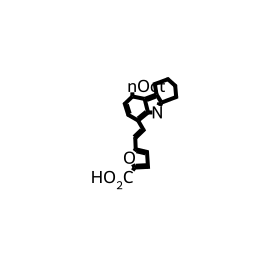 CCCCCCCCC1C=CC(C=Cc2ccc(C(=O)O)o2)=C2N=C3CCCCC3=C21